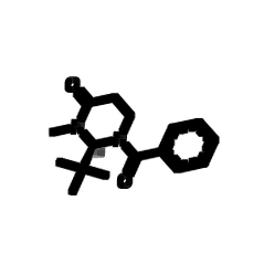 CN1C(=O)CCN(C(=O)c2ccccc2)[C@H]1C(C)(C)C